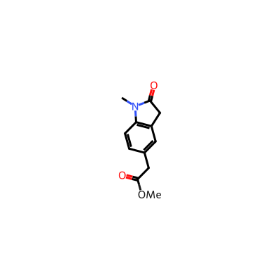 COC(=O)Cc1ccc2c(c1)CC(=O)N2C